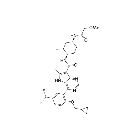 COCC(=O)N[C@H]1CC[C@@H](NC(=O)c2c(C)[nH]c3c(-c4cc(C(F)F)ccc4OCC4CC4)ncnc23)[C@H](C)C1